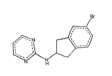 Brc1ccc2c(c1)CC(Nc1nc[c]cn1)C2